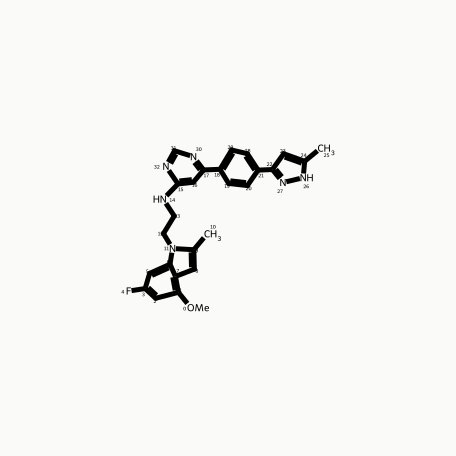 COc1cc(F)cc2c1cc(C)n2CCNc1cc(-c2ccc(-c3cc(C)[nH]n3)cc2)ncn1